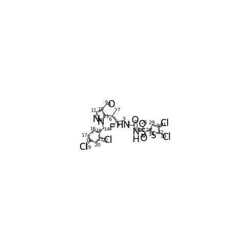 O=C(NCC(F)=C1COCc2cnn(Cc3ccc(Cl)cc3Cl)c21)NS(=O)(=O)c1cc(Cl)c(Cl)s1